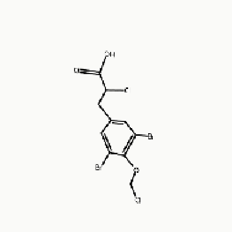 O=C(O)C(Cl)Cc1cc(Br)c(OCCl)c(Br)c1